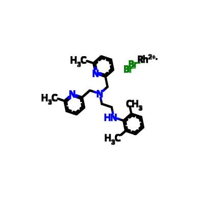 Cc1cccc(CN(CCNc2c(C)cccc2C)Cc2cccc(C)n2)n1.[Br-].[Br-].[Rh+2]